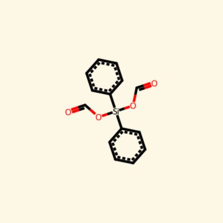 O=CO[Si](OC=O)(c1ccccc1)c1ccccc1